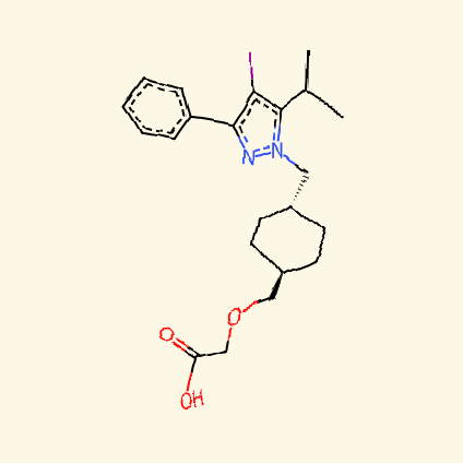 CC(C)c1c(I)c(-c2ccccc2)nn1C[C@H]1CC[C@H](COCC(=O)O)CC1